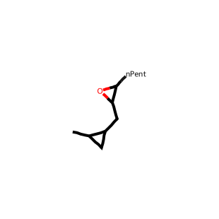 CCCCCC1OC1CC1CC1C